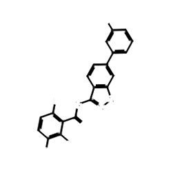 Cc1cccc(-c2ccc3c(NC(=O)c4c(F)ccc(F)c4F)n[nH]c3c2)c1